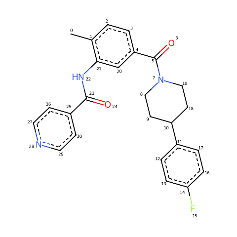 Cc1ccc(C(=O)N2CCC(c3ccc(F)cc3)CC2)cc1NC(=O)c1ccncc1